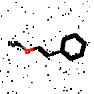 [SiH3]OC=Cc1ccccc1